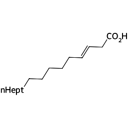 CCCCCCCCCCCCC=CCC(=O)O